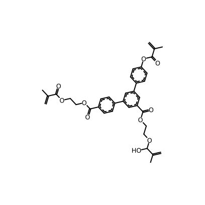 C=C(C)C(=O)OCCOC(=O)c1ccc(-c2cc(C(=O)OCCOC(O)C(=C)C)cc(-c3ccc(OC(=O)C(=C)C)cc3)c2)cc1